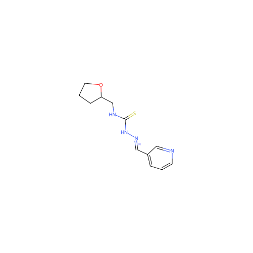 S=C(NCC1CCCO1)N/N=C/c1cccnc1